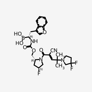 CC(C)(C=C(C#N)C(=O)N1C[C@@H](F)C[C@@H]1COC(=O)N[C@@H](Cc1coc2ccccc12)B(O)O)N1CCC(F)(F)C1